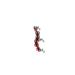 C=CC(=O)OCCCS(=O)(=O)c1ccc(C(=O)Oc2ccc(OC(=O)c3ccc(S(=O)(=O)CCCOC(=O)C=C)cc3)c(C)c2)cc1